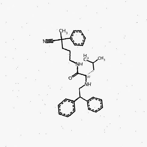 CC(C)C[C@H](NCC(c1ccccc1)c1ccccc1)C(=O)NCCCC(C)(C#N)c1ccccc1